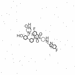 O=C1CCN(Cc2cc(O)ccc2-c2cccc(-n3c(=O)n([C@H]4CC[C@@H](NCc5cn6cc(F)ccc6n5)CC4)c(=O)c4cc(F)cnc43)c2)CCN1